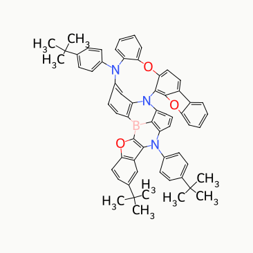 CC(C)(C)c1ccc(N2c3ccc4c(c3)N(c3cccc5c3B4c3oc4ccc(C(C)(C)C)cc4c3N5c3ccc(C(C)(C)C)cc3)c3c(ccc4c3oc3ccccc34)Oc3ccccc32)cc1